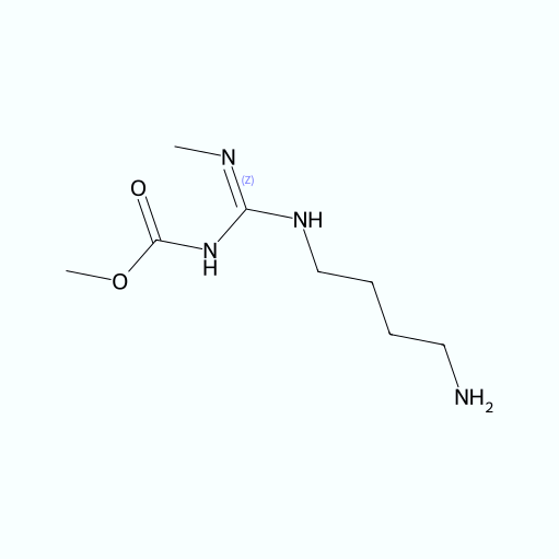 C/N=C(/NCCCCN)NC(=O)OC